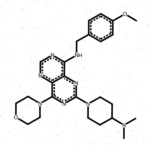 COc1ccc(CNc2ncnc3c(N4CCOCC4)nc(N4CCC(N(C)C)CC4)nc23)cc1